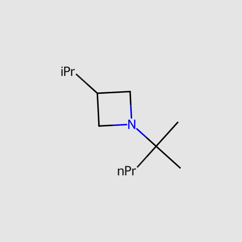 CCCC(C)(C)N1CC(C(C)C)C1